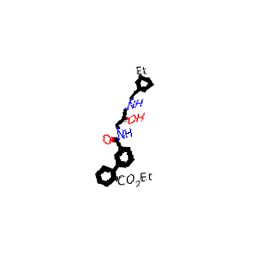 CCOC(=O)c1ccccc1-c1cccc(C(=O)NC[C@H](O)CNCc2cccc(CC)c2)c1